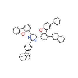 c1ccc(-c2ccc3oc4c(-c5cc(-c6cccc7c6oc6ccccc67)nc(-c6ccc(C78CC9CC(CC(C9)C7)C8)cc6)n5)ccc(-c5ccc6ccccc6c5)c4c3c2)cc1